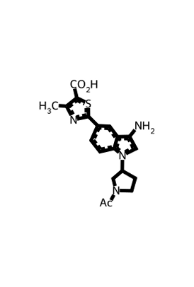 CC(=O)N1CCC(n2cc(N)c3cc(-c4nc(C)c(C(=O)O)s4)ccc32)C1